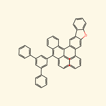 c1ccc(-c2cc(-c3ccccc3)cc(-c3c4ccccc4c(-c4cc5c(cc4-c4ccccc4)oc4ccccc45)c4ccccc34)c2)cc1